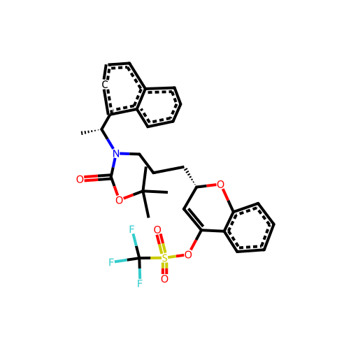 C[C@H](c1cccc2ccccc12)N(CCC[C@H]1C=C(OS(=O)(=O)C(F)(F)F)c2ccccc2O1)C(=O)OC(C)(C)C